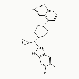 Fc1ccc2nccc([C@H]3CC[C@@H](C(c4nc5cc(F)c(Cl)cc5[nH]4)C4CC4)CC3)c2c1